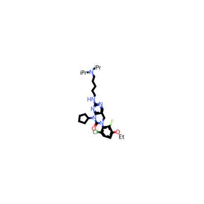 CCOc1ccc(Cl)c(N2Cc3cnc(NCCCCCN(C(C)C)C(C)C)nc3N(C3CCCC3)C2=O)c1F